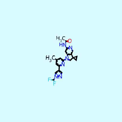 CC(=O)Nc1cc2c(cn1)C1(CC1)CN2c1cc(C)cc(-c2cnn(C(F)F)c2)n1